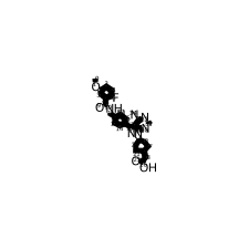 COc1ccc(F)c(C(=O)NCc2ccc(-c3nn(C4CCC(=CC(=O)O)CC4)c4ncnc(N)c34)cc2)c1